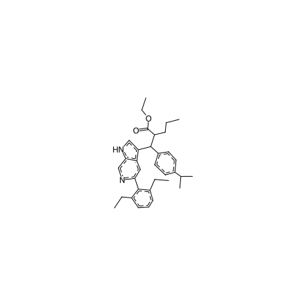 CCCC(C(=O)OCC)C(c1ccc(C(C)C)cc1)c1c[nH]c2cnc(-c3c(CC)cccc3CC)cc12